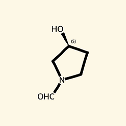 O=CN1CC[C@H](O)C1